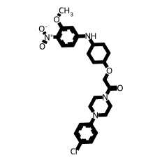 COc1cc(NC2CCC(OCC(=O)N3CCN(c4ccc(Cl)cc4)CC3)CC2)ccc1[N+](=O)[O-]